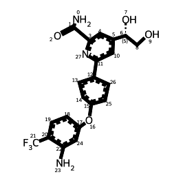 NC(=O)c1cc([C@H](O)CO)cc(-c2ccc(Oc3ccc(C(F)(F)F)c(N)c3)cc2)n1